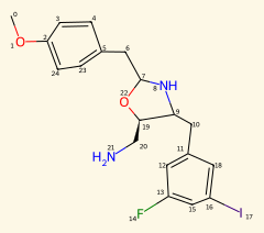 COc1ccc(CC2NC(Cc3cc(F)cc(I)c3)[C@@H](CN)O2)cc1